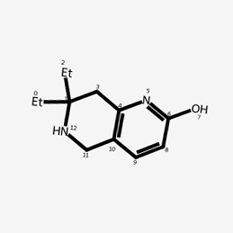 CCC1(CC)Cc2nc(O)ccc2CN1